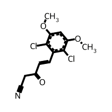 COc1cc(OC)c(Cl)c(C=CC(=O)CC#N)c1Cl